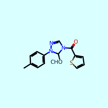 Cc1ccc(N2N=CN(C(=O)c3cccs3)C2C=O)cc1